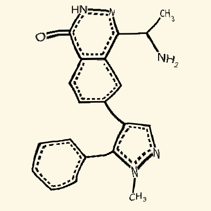 CC(N)c1n[nH]c(=O)c2ccc(-c3cnn(C)c3-c3ccccc3)cc12